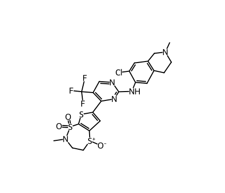 CN1CCc2cc(Nc3ncc(C(F)(F)F)c(-c4cc5c(s4)S(=O)(=O)N(C)CC[S+]5[O-])n3)c(Cl)cc2C1